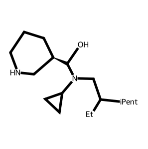 CCCC(C)C(CC)CN(C1CC1)C(O)[C@@H]1CCCNC1